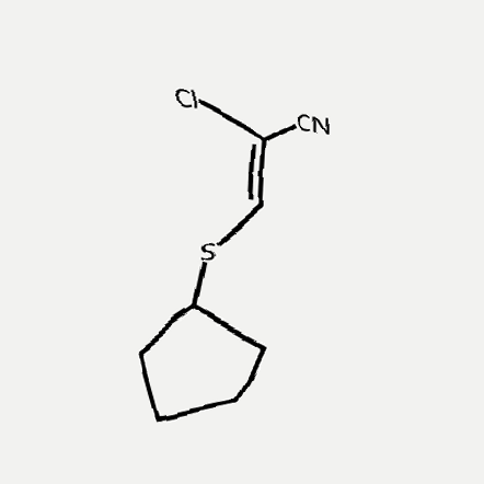 N#CC(Cl)=CSC1CCCC1